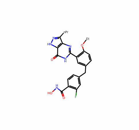 CCCc1n[nH]c2c(=O)[nH]c(-c3cc(Cc4ccc(C(=O)NO)c(F)c4)ccc3OCC)nc12